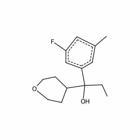 CCC(O)(c1cc(C)cc(F)c1)C1CCOCC1